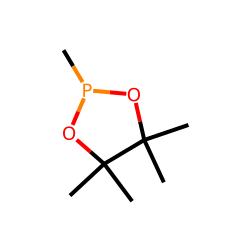 CP1OC(C)(C)C(C)(C)O1